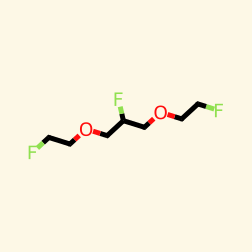 FCCOCC(F)COCCF